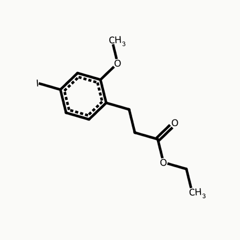 CCOC(=O)CCc1ccc(I)cc1OC